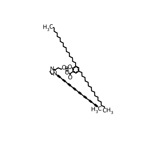 CC#CC#CC#CC#CC#CC#CC#CC#CN1CCN=C1CCOB1OC(=O)c2cc(CCCCCCCCCCCCCCCC)cc(CCCCCCCCCCCCCCCC)c2O1